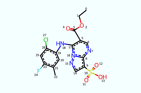 CCOC(=O)c1cnc2c(S(=O)(=O)O)cnn2c1Nc1cc(C)c(F)cc1Cl